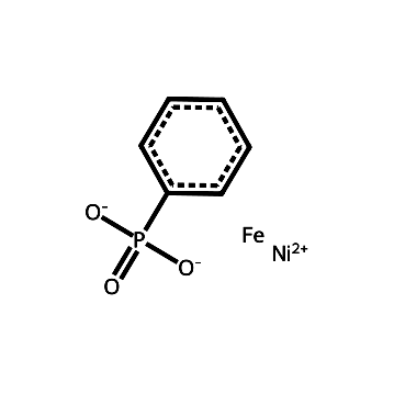 O=P([O-])([O-])c1ccccc1.[Fe].[Ni+2]